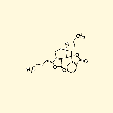 CCC/C=C1\OC(=O)C2=C1CC[C@H]1C2[C@@]2(OC(=O)C3=C2CCC=C3)[C@H]1CCC